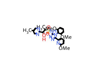 COc1cccc(-c2nnc(NS(=O)(=O)[C@@H](C)[C@H](O)c3ncc(C)cn3)n2-c2c(OC)cccc2OC)n1